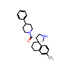 O=C([C@@H]1CNC[C@]12CCCc1cc(C(F)(F)F)ccc12)N1CCC(c2ccccc2)CC1